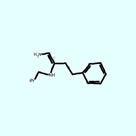 CC(C)CN/C(=C\N)CCc1ccccc1